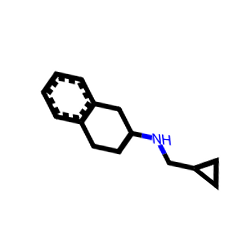 c1ccc2c(c1)CCC(NCC1CC1)C2